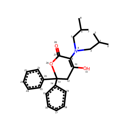 CC(C)CN(CC(C)C)C1=C(O)CC(c2ccccc2)(c2ccccc2)OC1=O